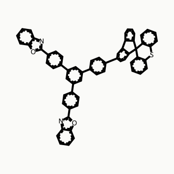 c1ccc2c(c1)Sc1ccccc1C21c2ccccc2-c2cc(-c3ccc(-c4cc(-c5ccc(-c6nc7ccccc7o6)cc5)cc(-c5ccc(-c6nc7ccccc7o6)cc5)c4)cc3)ccc21